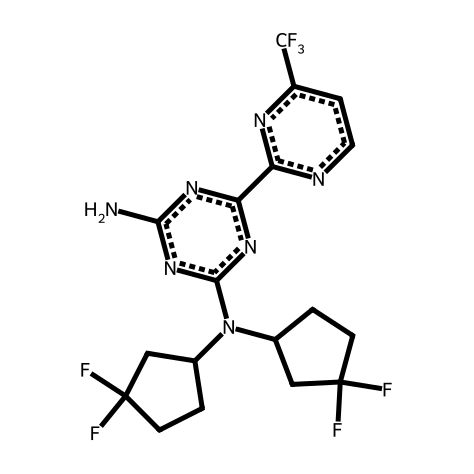 Nc1nc(-c2nccc(C(F)(F)F)n2)nc(N(C2CCC(F)(F)C2)C2CCC(F)(F)C2)n1